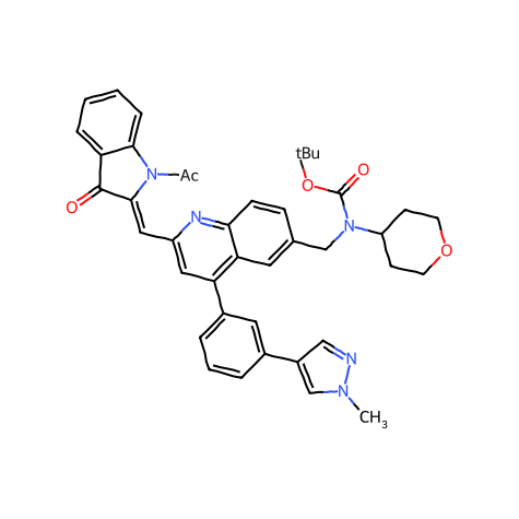 CC(=O)N1/C(=C\c2cc(-c3cccc(-c4cnn(C)c4)c3)c3cc(CN(C(=O)OC(C)(C)C)C4CCOCC4)ccc3n2)C(=O)c2ccccc21